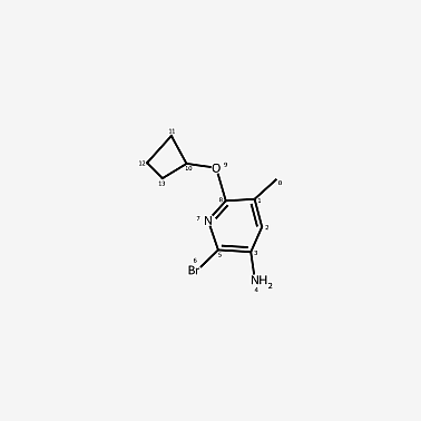 Cc1cc(N)c(Br)nc1OC1CCC1